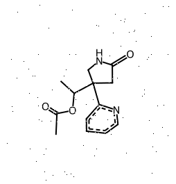 CC(=O)OC(C)C1(c2ccccn2)CNC(=O)C1